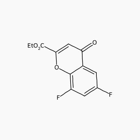 CCOC(=O)c1cc(=O)c2cc(F)cc(F)c2o1